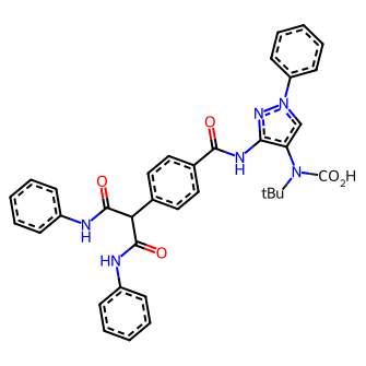 CC(C)(C)N(C(=O)O)c1cn(-c2ccccc2)nc1NC(=O)c1ccc(C(C(=O)Nc2ccccc2)C(=O)Nc2ccccc2)cc1